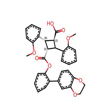 COc1ccccc1C1[C@H](C(=O)O)[C@@H](c2ccccc2OC)[C@H]1C(=O)Oc1ccccc1-c1ccc2c(c1)OCCO2